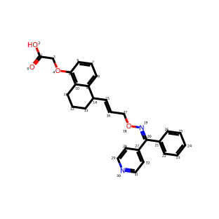 O=C(O)COc1cccc2c1CCCC2C=CCON=C(c1ccccc1)c1ccncc1